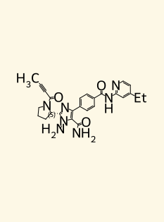 CC#CC(=O)N1CCC[C@H]1c1nc(-c2ccc(C(=O)Nc3cc(CC)ccn3)cc2)c(C(N)=O)n1N